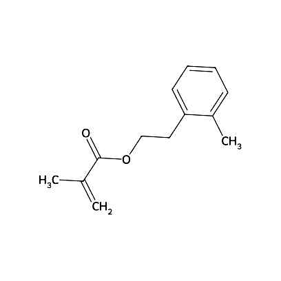 C=C(C)C(=O)OCCc1ccccc1C